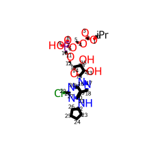 CC(C)OC(=O)OCOP(=O)(O)COC[C@H]1O[C@@H](n2ncc3c(NC4CCCC4)nc(Cl)nc32)[C@H](O)[C@@H]1O